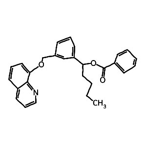 CCCCC(OC(=O)c1ccccc1)c1cccc(COc2cccc3cccnc23)c1